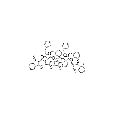 Cc1ccccc1C(=S)/C(C=S)=C/C1=Cc2sc3c(sc4c5c(sc43)C=C(C=C3C(=S)c4ccccc4C3=S)C5(C(=O)OCc3ccccc3)C(=O)OCc3ccccc3)c2C1(C(=O)OCc1ccccc1)C(=O)OCc1ccccc1